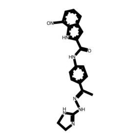 C/C(=N\NC1=NCCN1)c1ccc(NC(=O)c2cc3cccc(N=O)c3[nH]2)cc1